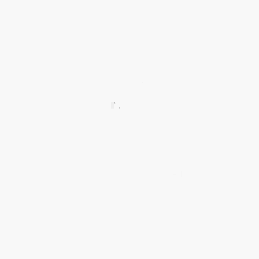 Cc1ccc(S(=O)(=O)NC(CCc2ccccc2)CP(C)(=O)O)cc1